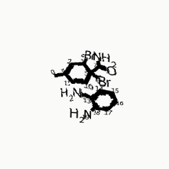 CC1=CC(Br)C(Br)(C(N)=O)C=C1.Nc1ccccc1N